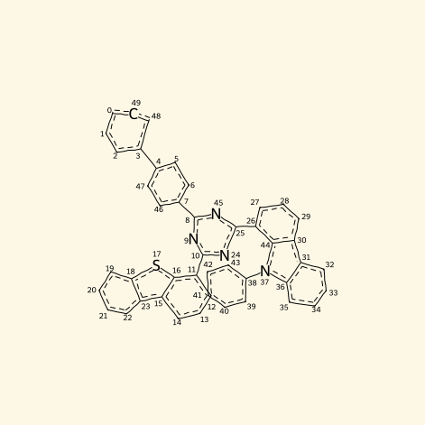 c1ccc(-c2ccc(-c3nc(-c4cccc5c4sc4ccccc45)nc(-c4cccc5c6ccccc6n(-c6ccccc6)c45)n3)cc2)cc1